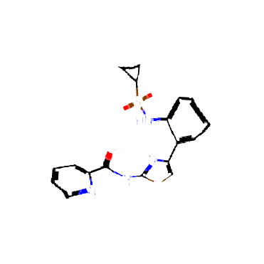 O=C(Nc1nc(-c2ccccc2NS(=O)(=O)C2CC2)cs1)c1ccccn1